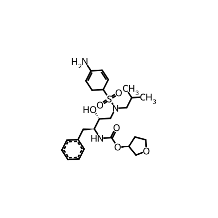 CC(C)CN(C[C@@H](O)[C@H](Cc1ccccc1)NC(=O)O[C@H]1CCOC1)S(=O)(=O)C1C=CC(N)=CC1